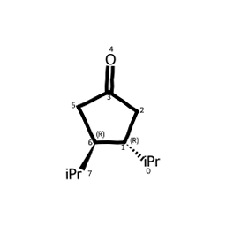 CC(C)[C@H]1CC(=O)C[C@@H]1C(C)C